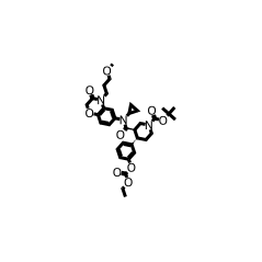 CCOC(=O)Oc1cccc([C@H]2CCN(C(=O)OC(C)(C)C)C[C@@H]2C(=O)N(c2ccc3c(c2)N(CCCOC)C(=O)CO3)C2CC2)c1